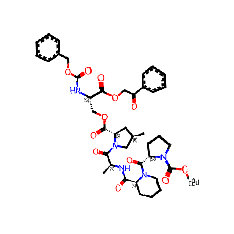 C[C@@H]1C[C@@H](C(=O)OC[C@H](NC(=O)OCc2ccccc2)C(=O)OCC(=O)c2ccccc2)N(C(=O)[C@H](C)NC(=O)[C@@H]2CCCCN2C(=O)[C@@H]2CCCN2C(=O)OC(C)(C)C)C1